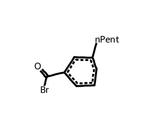 CCCCCc1cccc(C(=O)Br)c1